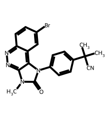 Cn1c(=O)n(-c2ccc(C(C)(C)C#N)cc2)c2c3cc(Br)ccc3nnc21